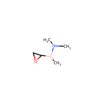 CB(C1CO1)N(C)C